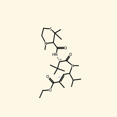 CCOC(=O)/C(C)=C/C(C(C)C)N(C)C(=O)[C@@H](NC(=O)C1N(C)CCSC1(C)C)C(C)(C)C